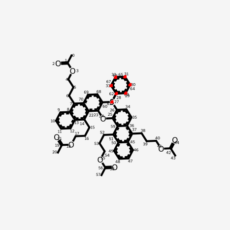 CC(=O)OCCCc1c2ccccc2c(CCCOC(C)=O)c2c(Oc3c(Sc4ccccc4)ccc4c(CCCOC(C)=O)c5ccccc5c(CCCOC(C)=O)c34)c(Sc3ccccc3)ccc12